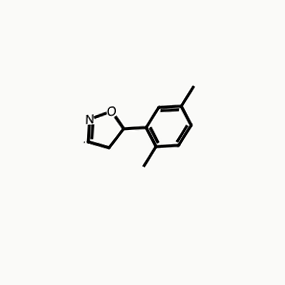 Cc1ccc(C)c(C2C[C]=NO2)c1